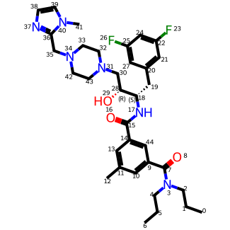 CCCN(CCC)C(=O)c1cc(C)cc(C(=O)N[C@@H](Cc2cc(F)cc(F)c2)[C@H](O)CN2CCN(Cc3nccn3C)CC2)c1